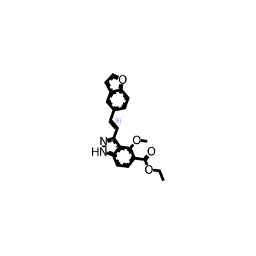 CCOC(=O)c1ccc2[nH]nc(/C=C/c3ccc4occc4c3)c2c1OC